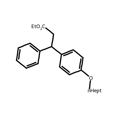 CCCCCCCOc1ccc(C(CC(=O)OCC)c2ccccc2)cc1